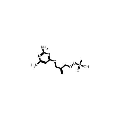 C=C(COOP(C)(=O)O)COc1cc(N)nc(N)n1